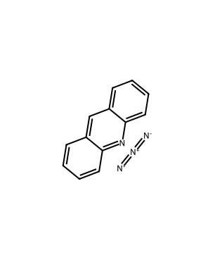 [N-]=[N+]=[N-].c1ccc2nc3ccccc3cc2c1